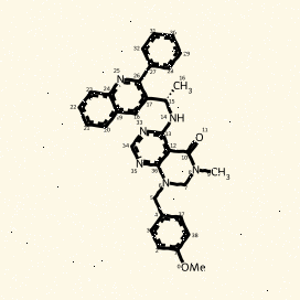 COc1ccc(CN2CN(C)C(=O)c3c(N[C@@H](C)c4cc5ccccc5nc4-c4ccccc4)ncnc32)cc1